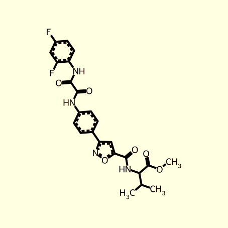 COC(=O)C(NC(=O)c1cc(-c2ccc(NC(=O)C(=O)Nc3ccc(F)cc3F)cc2)no1)C(C)C